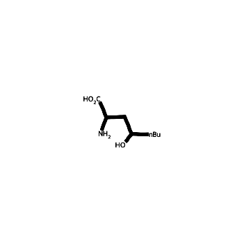 CCCCC(O)CC(N)C(=O)O